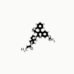 C=CC(=O)N1CC2(CCN(c3nc4cc(OC)ccc4c(-c4ccccc4Cl)c3C#N)C2)C1